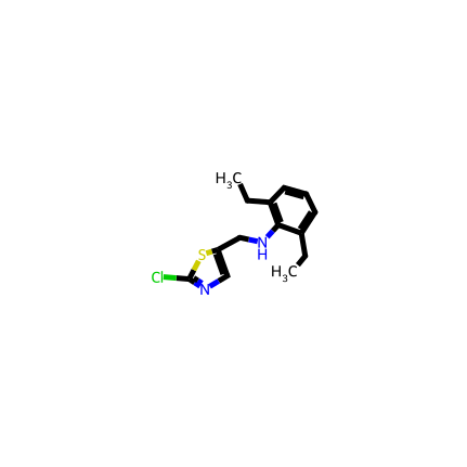 CCc1cccc(CC)c1NCc1cnc(Cl)s1